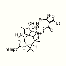 CCCCCCCC(=O)O[C@@]12C[C@@H](N)[C@]34C=C(C)[C@H](O)[C@@]3(O)[C@H](O)C(COC(=O)c3c(CC)noc3CC)=C[C@H](C4O)[C@@H]1C2(C)C